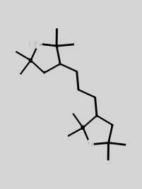 CC1(C)CC(CCCC2CC(C)(C)NC2(C)C)C(C)(C)N1